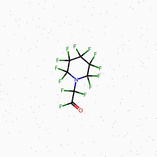 O=C(F)C(F)(F)N1C(F)(F)C(F)(F)C(F)(F)C(F)(F)C1(F)F